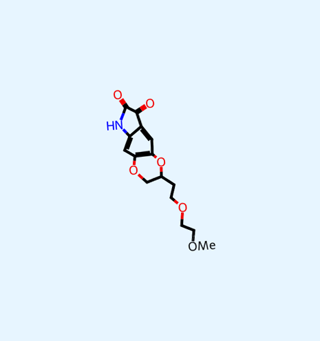 COCCOCCC1COc2cc3c(cc2O1)C(=O)C(=O)N3